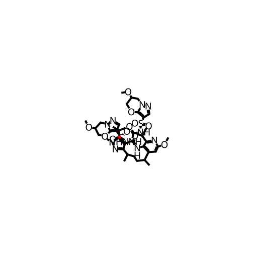 COc1cc(C(C)CCC(C)c2nn(C)c(C(C)C)c2NC(=O)NS(=O)(=O)c2cnn3c2OCC(OC)C3)c(NC(=O)NS(=O)(=O)c2cnn3c2OCC(OC)C3)c(C(C)C)n1